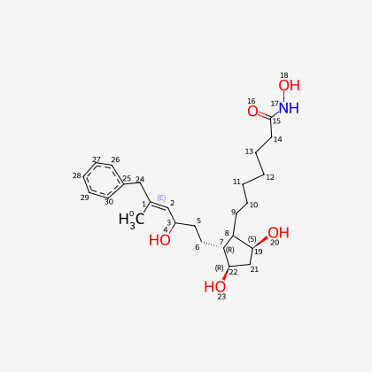 C/C(=C\C(O)CC[C@@H]1C(CCCCCCC(=O)NO)[C@@H](O)C[C@H]1O)Cc1ccccc1